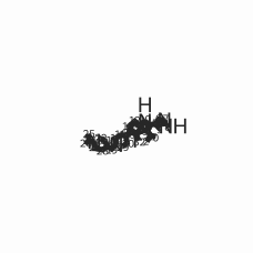 CC(C)c1c(-c2cn[nH]c2)[nH]c2ccc(C3CCN(CC4CCN(C(C)C)CC4)CC3)c(F)c12